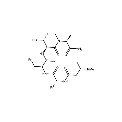 CN[C@@H](C)CC(=O)N[C@@H](C(=O)N[C@@H](CC(C)C)C(=O)N[C@H](C(=O)N(C)[C@@H](C)C(N)=O)[C@@H](C)O)C(C)C